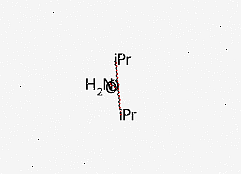 CC(C)CCCCCCCCCCCCCCC(CCCCCCCCCCCCCCC(C)C)COC(=O)CN